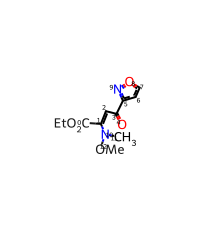 CCOC(=O)/C(=C/C(=O)c1ccon1)N(C)OC